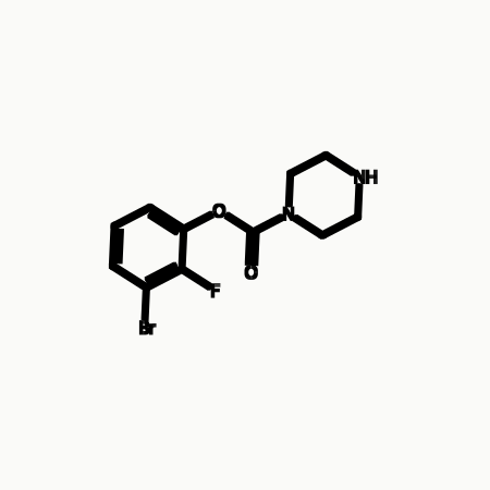 O=C(Oc1cccc(Br)c1F)N1CCNCC1